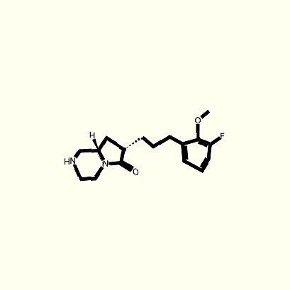 COc1c(F)cccc1CCC[C@H]1C[C@H]2CNCCN2C1=O